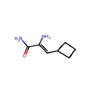 NC(=O)C(N)=CC1CCC1